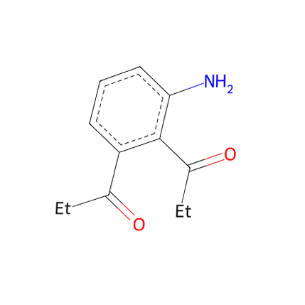 CCC(=O)c1cccc(N)c1C(=O)CC